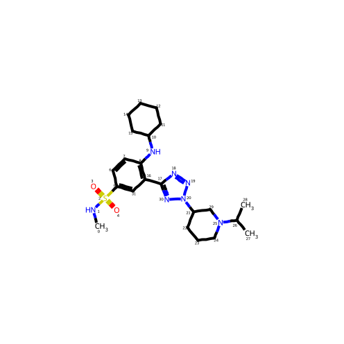 CNS(=O)(=O)c1ccc(NC2CCCCC2)c(-c2nnn(C3CCCN(C(C)C)C3)n2)c1